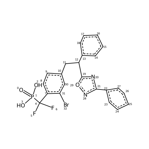 O=P(O)(O)C(F)(F)c1ccc(CC(c2ccccc2)c2nc(-c3ccccc3)no2)cc1Br